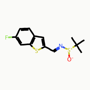 CC(C)(C)[S+]([O-])/N=C/c1cc2ccc(F)cc2s1